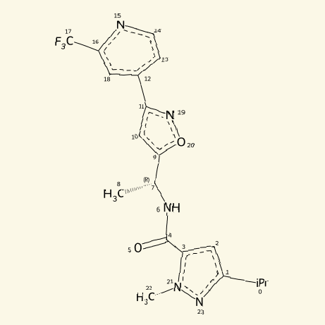 CC(C)c1cc(C(=O)N[C@H](C)c2cc(-c3ccnc(C(F)(F)F)c3)no2)n(C)n1